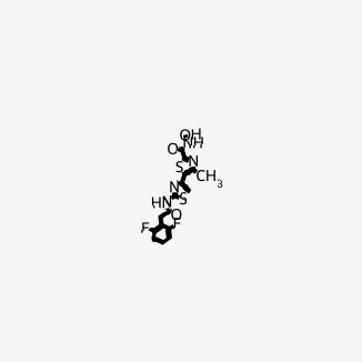 Cc1nc(C(=O)NO)sc1-c1csc(NC(=O)Cc2c(F)cccc2F)n1